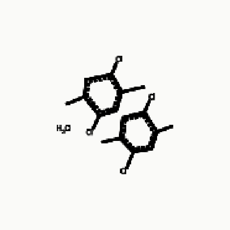 Cc1cc(Cl)c(C)cc1Cl.Cc1cc(Cl)c(C)cc1Cl.O